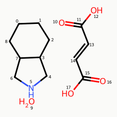 C1CCC2CNCC2C1.O.O=C(O)/C=C/C(=O)O